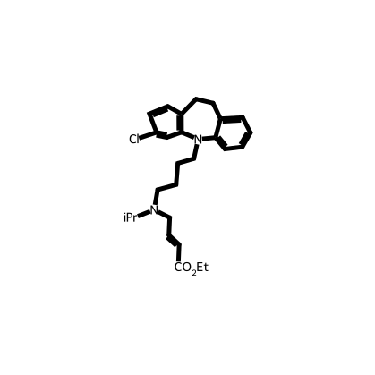 CCOC(=O)/C=C/CN(CCCCN1c2ccccc2CCc2ccc(Cl)cc21)C(C)C